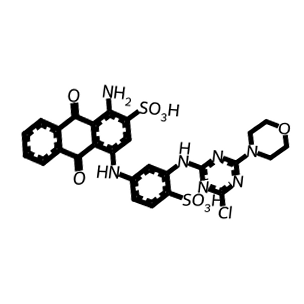 Nc1c(S(=O)(=O)O)cc(Nc2ccc(S(=O)(=O)O)c(Nc3nc(Cl)nc(N4CCOCC4)n3)c2)c2c1C(=O)c1ccccc1C2=O